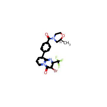 C[C@H]1CN(C(=O)c2ccc(-c3cccn4c(=O)c(Br)c(C(F)(F)F)nc34)cc2)CCO1